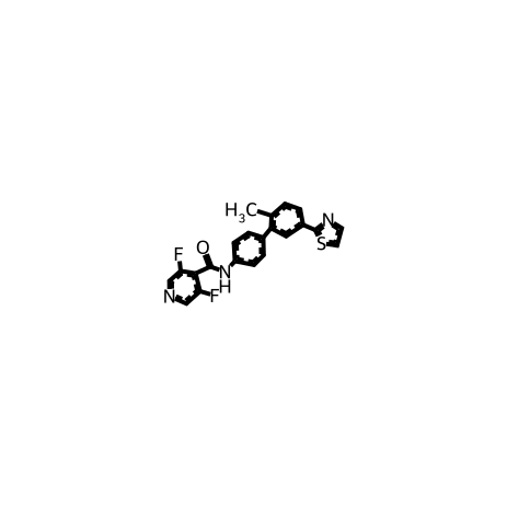 Cc1ccc(-c2nccs2)cc1-c1ccc(NC(=O)c2c(F)cncc2F)cc1